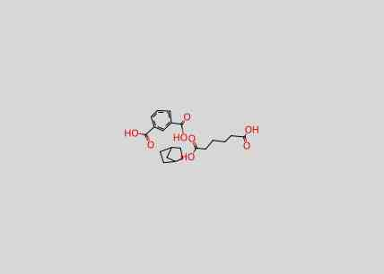 C1CC2CCC1C2.O=C(O)CCCCC(=O)O.O=C(O)c1cccc(C(=O)O)c1